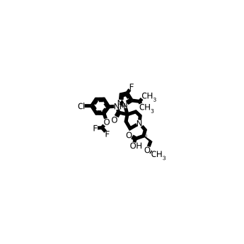 COC[C@H](CN1CCC(C(=O)Nc2ccc(Cl)cc2OC(F)F)(n2ncc(F)c2C(C)C)CC1)C(=O)O